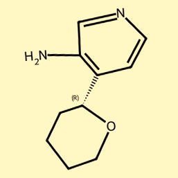 Nc1cnccc1[C@H]1CCCCO1